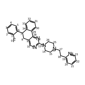 Fc1ccccc1C1Cc2cnc(N3CCN(CCc4ccccn4)CC3)nc2-c2ccccc21